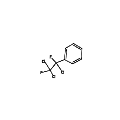 FC(Cl)(Cl)C(F)(Cl)c1ccccc1